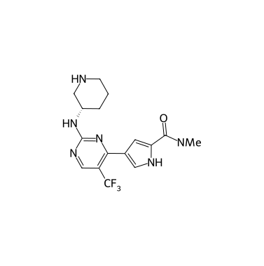 CNC(=O)c1cc(-c2nc(N[C@H]3CCCNC3)ncc2C(F)(F)F)c[nH]1